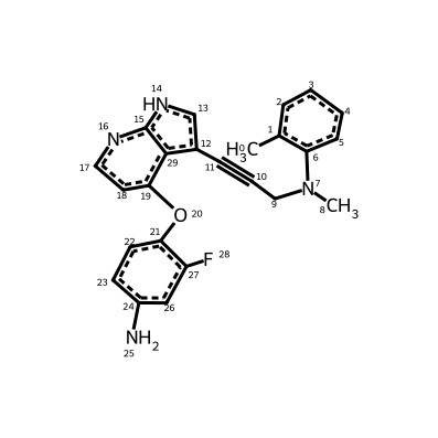 Cc1ccccc1N(C)CC#Cc1c[nH]c2nccc(Oc3ccc(N)cc3F)c12